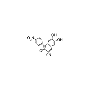 N#Cc1cc2cc(O)c(O)cc2n(-c2ccc([N+](=O)[O-])cc2)c1=O